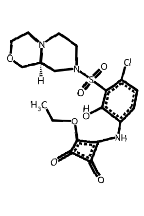 CCOc1c(Nc2ccc(Cl)c(S(=O)(=O)N3CCN4CCOC[C@@H]4C3)c2O)c(=O)c1=O